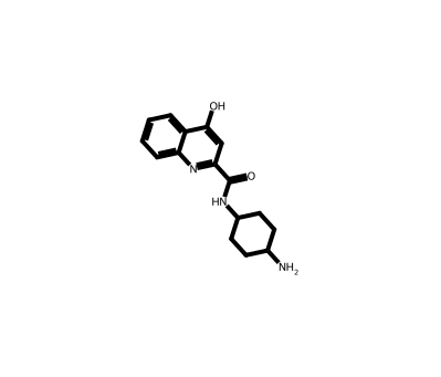 NC1CCC(NC(=O)c2cc(O)c3ccccc3n2)CC1